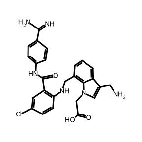 N=C(N)c1ccc(NC(=O)c2cc(Cl)ccc2NCc2cccc3c(CN)cn(CC(=O)O)c23)cc1